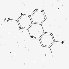 Nc1nc(N)c2c(-c3ccc(F)c(F)c3)cccc2n1